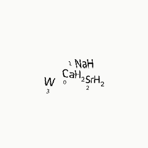 [CaH2].[NaH].[SrH2].[W]